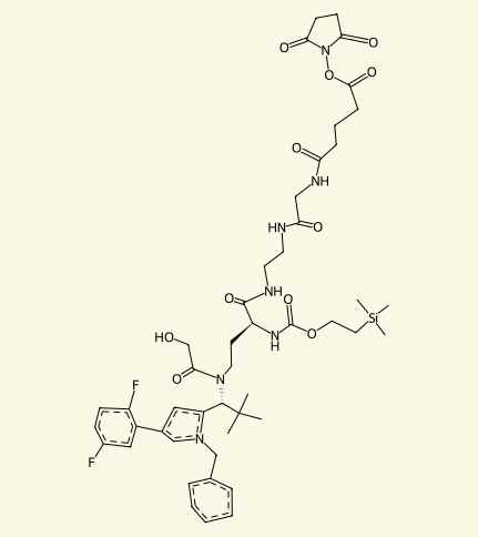 CC(C)(C)[C@H](c1cc(-c2cc(F)ccc2F)cn1Cc1ccccc1)N(CC[C@H](NC(=O)OCC[Si](C)(C)C)C(=O)NCCNC(=O)CNC(=O)CCCC(=O)ON1C(=O)CCC1=O)C(=O)CO